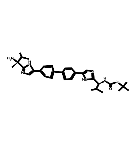 CC(C)[C@H](NC(=O)OC(C)(C)C)c1ncc(-c2ccc(-c3ccc(-c4cnc([C@](C)(N)C(C)C)[nH]4)cc3)cc2)[nH]1